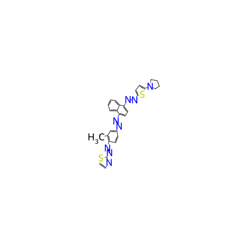 Cc1cc(/N=N/c2ccc(/N=N/c3ccc(N4CCCC4)s3)c3ccccc23)ccc1/N=N/c1nccs1